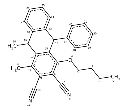 CCCCOc1c(C#N)c(C#N)c(C)c2c1C(c1ccccc1)c1ccccc1C2C